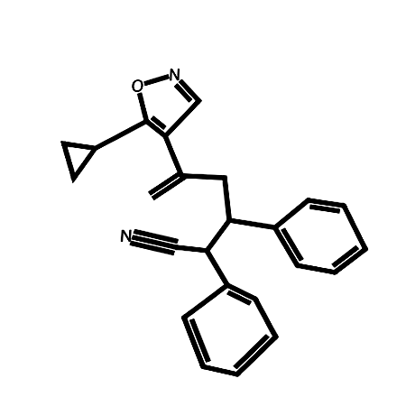 C=C(CC(c1ccccc1)C(C#N)c1ccccc1)c1cnoc1C1CC1